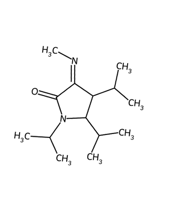 C/N=C1\C(=O)N(C(C)C)C(C(C)C)C1C(C)C